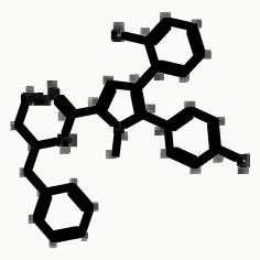 COCC(Cc1ccccc1)NC(=O)c1cc(-c2ccccc2Cl)c(-c2ccc(Cl)cc2)n1C